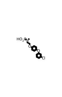 CN(CCOc1ccc(Oc2cccc(Cl)c2)cc1)C(=O)O